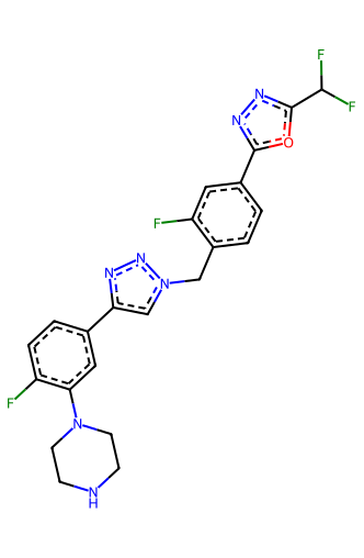 Fc1cc(-c2nnc(C(F)F)o2)ccc1Cn1cc(-c2ccc(F)c(N3CCNCC3)c2)nn1